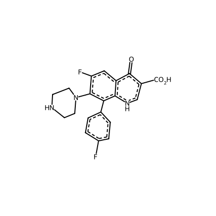 O=C(O)c1c[nH]c2c(-c3ccc(F)cc3)c(N3CCNCC3)c(F)cc2c1=O